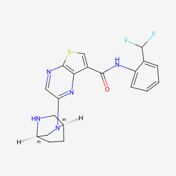 O=C(Nc1ccccc1C(F)F)c1csc2ncc(N3C[C@H]4CC[C@@H]3CN4)nc12